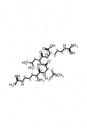 CC(C)C[C@H](NC(=O)[C@H](CC(C)C)NC(=O)[C@@H](N)CCCNC(=N)N)C(=O)N[C@@H](CCCNC(=N)N)C(=O)O